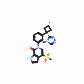 Cn1cnnc1[C@]1(c2cccc(-n3cc(S(C)(=O)=O)c4cc[nH]c4c3=O)c2)C[C@H](C)C1